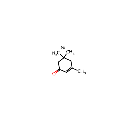 CC1=CC(=O)CC(C)(C)C1.[Ni]